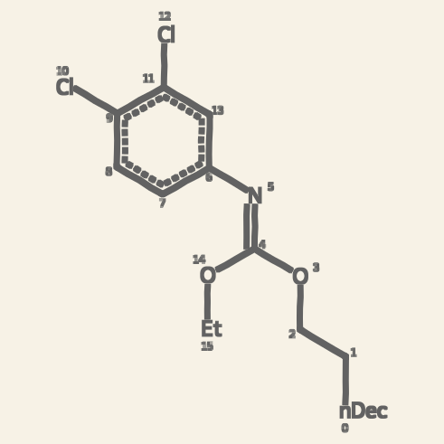 CCCCCCCCCCCCOC(=Nc1ccc(Cl)c(Cl)c1)OCC